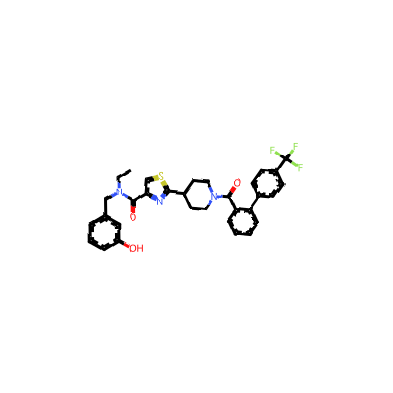 CCN(Cc1cccc(O)c1)C(=O)c1csc(C2CCN(C(=O)c3ccccc3-c3ccc(C(F)(F)F)cc3)CC2)n1